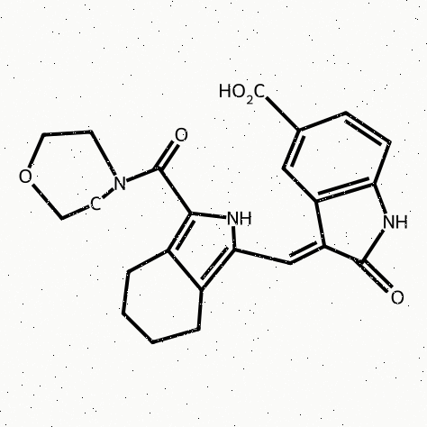 O=C1Nc2ccc(C(=O)O)cc2C1=Cc1[nH]c(C(=O)N2CCOCC2)c2c1CCCC2